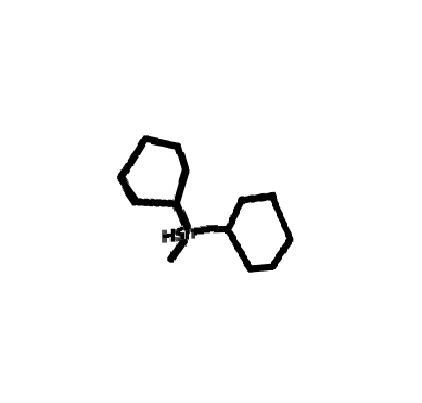 [CH3][SnH]([CH]1CCCCC1)[CH]1CCCCC1